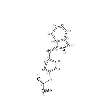 COC(=O)Cc1ccc(N=c2snc3ccccn23)cc1